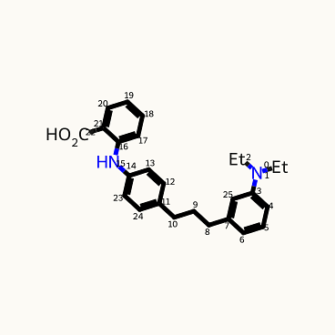 CCN(CC)c1cccc(CCCc2ccc(Nc3ccccc3C(=O)O)cc2)c1